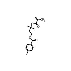 C=C(C(=O)OC(C)(C)CCOC(=O)c1ccc(C)cc1)C(F)(F)F